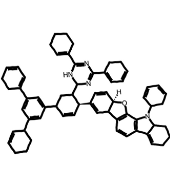 C1=CCCC(C2=NC(C3CC(c4cc(C5=CC=CCC5)cc(C5C=CCCC5)c4)C=C[C@@H]3C3=CC4c5ccc6c(c5O[C@@H]4C=C3)N(C3C=CC=CC3)C3CCCC=C63)NC(C3=CCCCC3)=N2)=C1